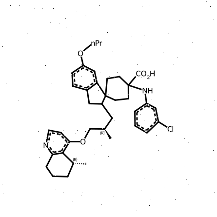 CCCOc1ccc2c(c1)C1(CCC(Nc3cccc(Cl)c3)(C(=O)O)CC1)C(C[C@@H](C)COc1ccnc3c1[C@H](C)CCC3)C2